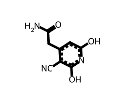 N#Cc1c(CC(N)=O)cc(O)nc1O